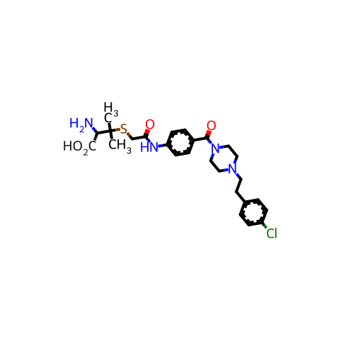 CC(C)(SCC(=O)Nc1ccc(C(=O)N2CCN(CCc3ccc(Cl)cc3)CC2)cc1)C(N)C(=O)O